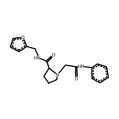 O=C(CN1CCCC1C(=O)NCc1ccco1)Nc1ccccc1